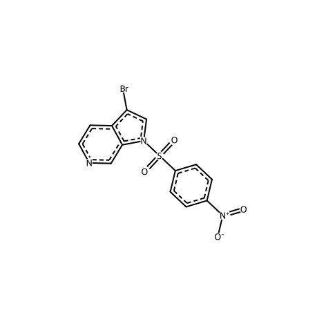 O=[N+]([O-])c1ccc(S(=O)(=O)n2cc(Br)c3ccncc32)cc1